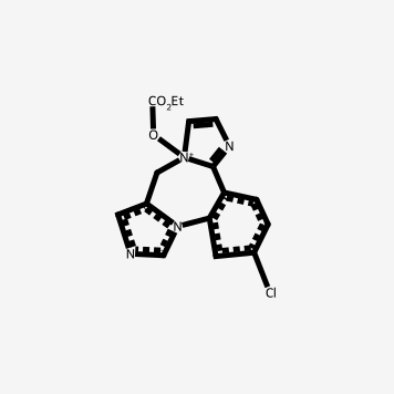 CCOC(=O)O[N+]12C=CN=C1c1ccc(Cl)cc1-n1cncc1C2